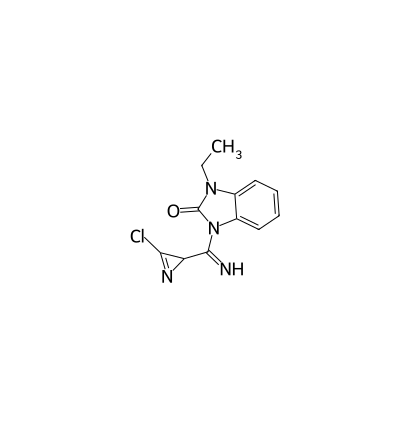 CCn1c(=O)n(C(=N)C2N=C2Cl)c2ccccc21